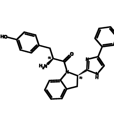 N[C@@H](Cc1ccc(O)cc1)C(=O)N1c2ccccc2C[C@H]1c1nc(-c2ccccc2)c[nH]1